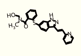 CN(CO)C(=O)c1ccccc1Sc1ccc2c(/C=C/c3ccccn3)n[nH]c2c1